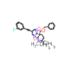 CN1C(=O)[C@@](C(=O)OCc2ccccc2)(c2ncc(C#Cc3cccc(F)c3)cn2)CCC1(C)C